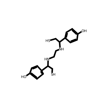 Oc1ccc(C(CS)NCCNC(CS)c2ccc(O)cc2)cc1